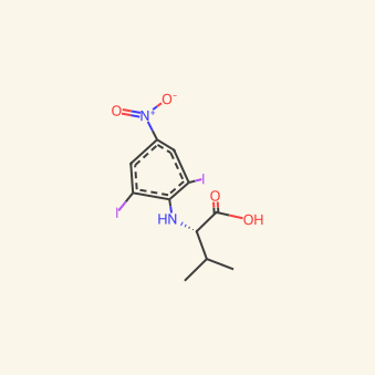 CC(C)[C@H](Nc1c(I)cc([N+](=O)[O-])cc1I)C(=O)O